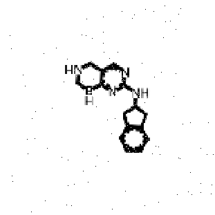 B1CNCc2cnc(NC3Cc4ccccc4C3)nc21